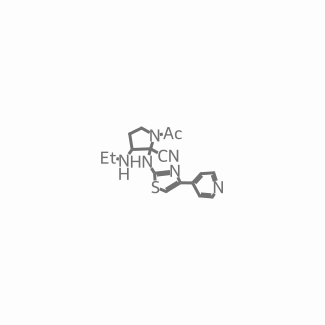 CCNC1CCN(C(C)=O)C1(C#N)Nc1nc(-c2ccncc2)cs1